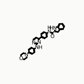 O=C(Nc1ccc(-c2ccnc(Nc3ccc(N4CCOCC4)cc3)n2)cc1)[C@@H]1Cc2ccccc2N1